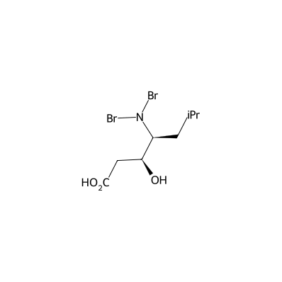 CC(C)C[C@@H]([C@@H](O)CC(=O)O)N(Br)Br